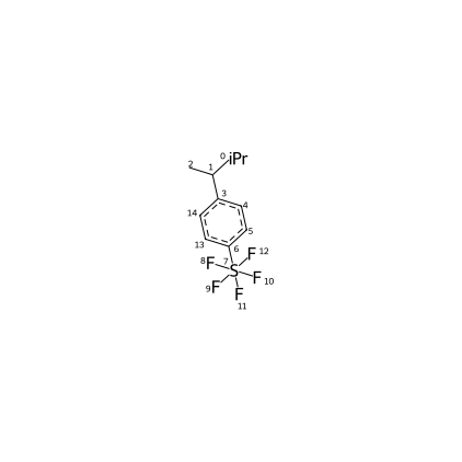 CC(C)C(C)c1ccc(S(F)(F)(F)(F)F)cc1